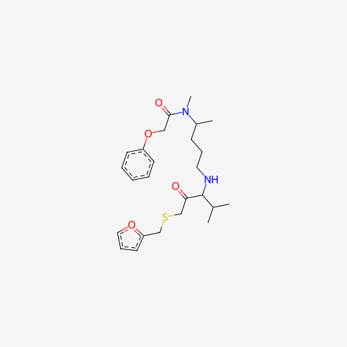 CC(C)C(NCCCC(C)N(C)C(=O)COc1ccccc1)C(=O)CSCc1ccco1